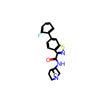 O=C(NC1CN2CCC1CC2)c1nsc2cc(-c3ccccc3F)ccc12